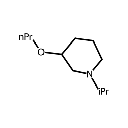 CCCOC1CCCN(C(C)C)C1